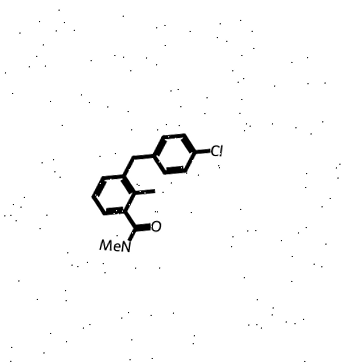 CNC(=O)c1cccc(Cc2ccc(Cl)cc2)c1C